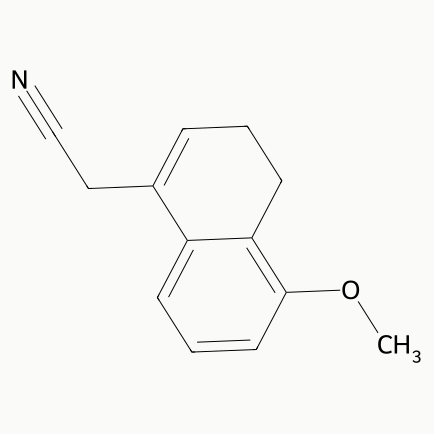 COc1cccc2c1CCC=C2CC#N